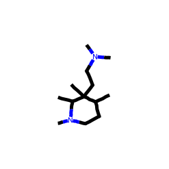 CC1CCN(C)C(C)C1(C)CCN(C)C